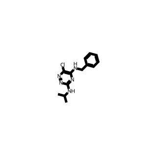 CC(C)Nc1nnc(Cl)c(NCc2ccccc2)n1